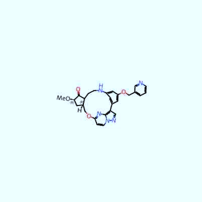 CO[C@@H]1C[C@H]2COc3ccn4ncc(c4n3)-c3cc(cc(OCc4cccnc4)c3)NCCC2C1=O